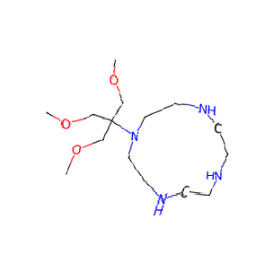 COCC(COC)(COC)N1CCNCCNCCNCC1